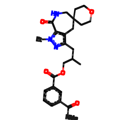 CCn1nc(CC(C)COC(=O)c2cccc(C(=O)NC)c2)c2c1C(=O)NCC1(CCOCC1)C2